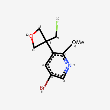 COc1ncc(Br)cc1C1(CF)COC1